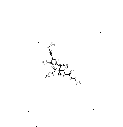 CCOC(=O)CC[C@](N)(C(=O)OCC)N(C=O)c1cc(C)c(C#CCO)s1